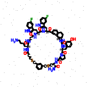 C[C@@]12CCCN1C(=O)[C@H](Cc1ccc(O)cc1)NC(=O)N[C@@H]1CCCc3ccc(cc31)C(=O)[C@H](Cc1c[nH]c3ccc(F)cc13)NC(=O)[C@H](Cc1c[nH]c3ccc(F)cc13)NC(=O)CNC(=O)[C@H](CCCCN)NC(=O)CCSCc1cccc(c1)CSC[C@@H](C(N)=O)NC2=O